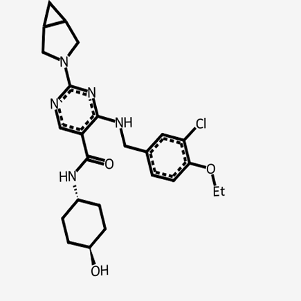 CCOc1ccc(CNc2nc(N3CC4CC4C3)ncc2C(=O)N[C@H]2CC[C@H](O)CC2)cc1Cl